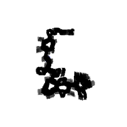 CCCC(C)Oc1ccc(/C=C/C(=O)Nc2cccc3c2OC(c2nnn[nH]2)CO3)cc1